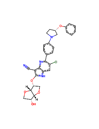 N#Cc1c(O[C@@H]2CO[C@H]3[C@@H]2OC[C@H]3O)[nH]c2cc(Cl)c(-c3ccc(N4CC[C@H](Oc5ccccc5)C4)cc3)nc12